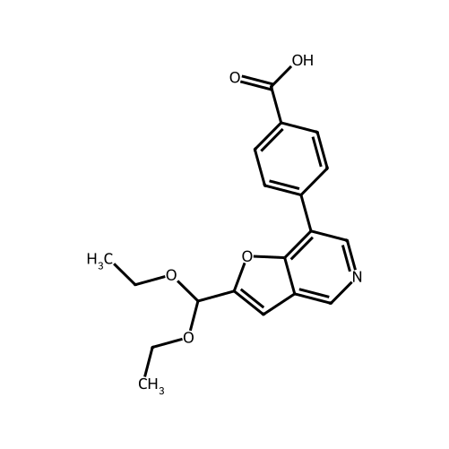 CCOC(OCC)c1cc2cncc(-c3ccc(C(=O)O)cc3)c2o1